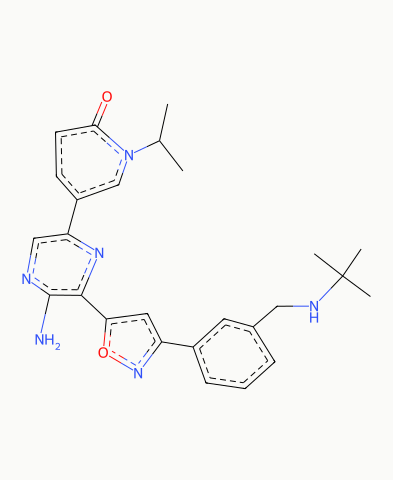 CC(C)n1cc(-c2cnc(N)c(-c3cc(-c4cccc(CNC(C)(C)C)c4)no3)n2)ccc1=O